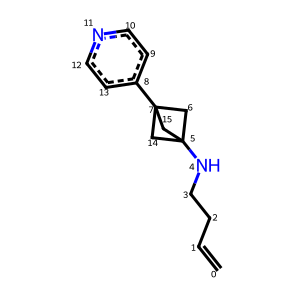 C=CCCNC12CC(c3ccncc3)(C1)C2